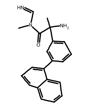 CN(C=N)C(=O)C(C)(N)c1cccc(-c2cccc3ccccc23)c1